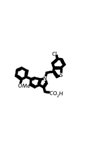 COc1ccccc1-c1ccc2c(CC(=O)O)cn(Cc3csc4ccc(Cl)cc34)c2c1